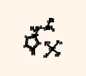 CC[SiH2][SiH2][n+]1cc[nH]c1.F[B-](F)(F)F